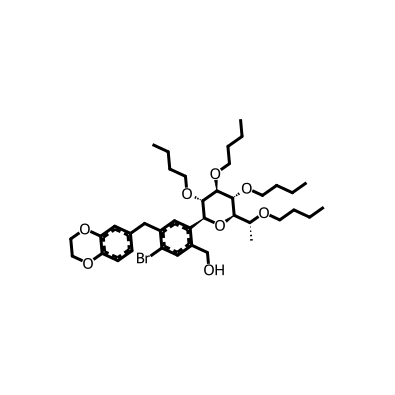 CCCCO[C@H]1[C@H](OCCCC)[C@@H]([C@@H](C)OCCCC)O[C@@H](c2cc(Cc3ccc4c(c3)OCCO4)c(Br)cc2CO)[C@@H]1OCCCC